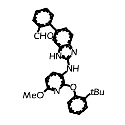 COc1ccc(Nc2nc3ccc(-c4ccccc4C=O)cc3[nH]2)c(Oc2ccccc2C(C)(C)C)n1